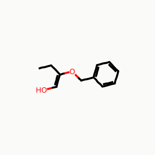 CCC(=CO)OCc1ccccc1